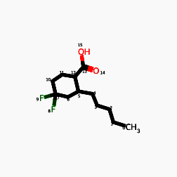 CCCCCC1CC(F)(F)CCC1C(=O)O